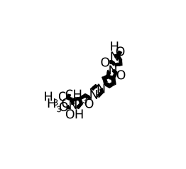 CC(C)(C)C1CC(CC(=O)N2CCN(c3ccc4c(c3)CN(C3CCC(=O)NC3=O)C4=O)CC2)CCN1C(=O)O